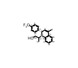 CC1=C[C@@H](c2ccc(C(F)(F)F)cc2)N(C(C)CO)c2ccccc21